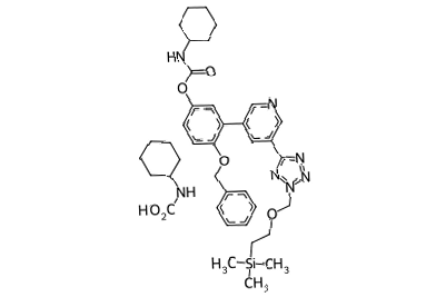 C[Si](C)(C)CCOCn1nnc(-c2cncc(-c3cc(OC(=O)NC4CCCCC4)ccc3OCc3ccccc3)c2)n1.O=C(O)NC1CCCCC1